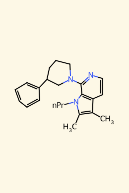 CCCn1c(C)c(C)c2ccnc(N3CCCC(c4ccccc4)C3)c21